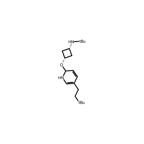 CC(C)(C)CCC1=CNC(O[C@H]2C[C@@H](NC(C)(C)C)C2)C=C1